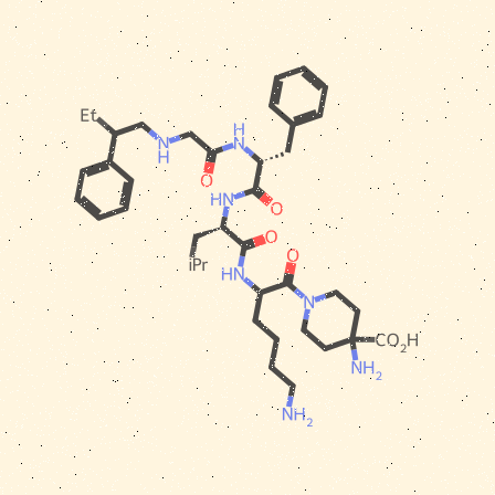 CCC(CNCC(=O)N[C@H](Cc1ccccc1)C(=O)N[C@H](CC(C)C)C(=O)NC(CCCCN)C(=O)N1CCC(N)(C(=O)O)CC1)c1ccccc1